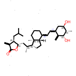 C=C1/C(=C\C=C2/CCC[C@]3(C)[C@@H]([C@H](C)C[C@@H]4OC(=O)C(=C)[C@H]4CC(C)C)CC[C@@H]23)C[C@@H](O)[C@H](C)[C@@H]1O